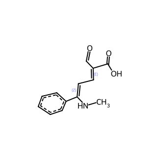 CN/C(=C\C=C(/C=O)C(=O)O)c1ccccc1